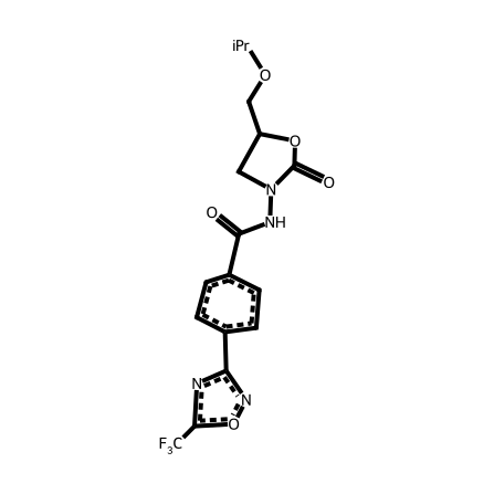 CC(C)OCC1CN(NC(=O)c2ccc(-c3noc(C(F)(F)F)n3)cc2)C(=O)O1